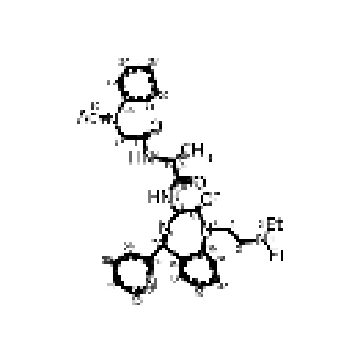 CCN(CC)CCN1C(=O)C(NC(=O)[C@H](C)NC(=O)CN(C(C)=O)c2ccccc2)N=C(c2ccccn2)c2ccccc21